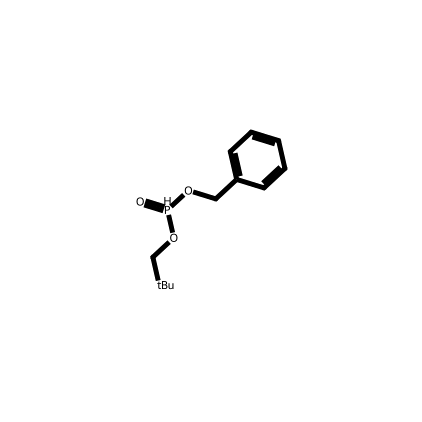 CC(C)(C)CO[PH](=O)OCc1ccccc1